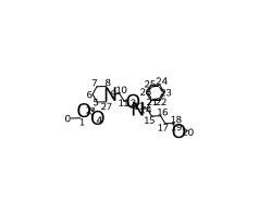 CCOC(=O)[C@@H]1CCCN(CCO/N=C(/CCCCOC)c2ccccc2)C1